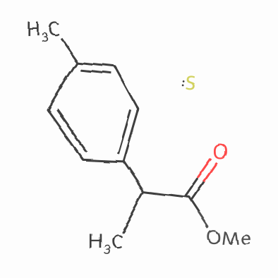 COC(=O)C(C)c1ccc(C)cc1.[S]